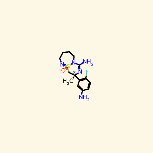 C[C@@]1(c2cc(N)ccc2F)C[S@@]2(=O)=NCCCCN2C(N)=N1